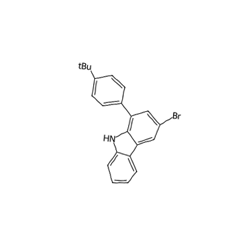 CC(C)(C)c1ccc(-c2cc(Br)cc3c2[nH]c2ccccc23)cc1